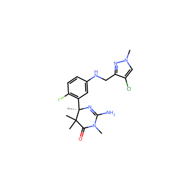 CN1C(=O)C(C)(C)[C@@](C)(c2cc(NCc3nn(C)cc3Cl)ccc2F)N=C1N